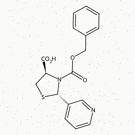 O=C(O)[C@@H]1CS[C@@H](c2cccnc2)N1C(=O)OCc1ccccc1